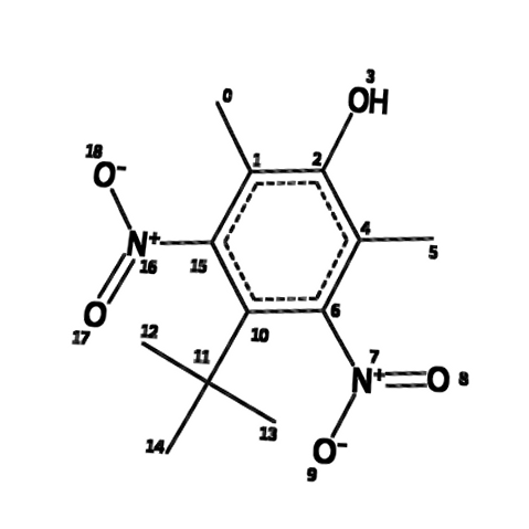 Cc1c(O)c(C)c([N+](=O)[O-])c(C(C)(C)C)c1[N+](=O)[O-]